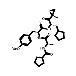 COc1ccc(C[C@H](NC(=O)[C@@H](C)NC(=O)C2CCCC2)C(=O)N[C@@H](CC2CCCC2)C(=O)[C@@]2(C)CO2)cc1